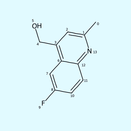 Cc1cc(CO)c2cc(F)ccc2n1